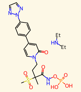 CC(CCn1ccc(-c2ccc(-n3nccn3)cc2)cc1=O)(C(=O)NOP(=O)(O)O)S(C)(=O)=O.CCNCC